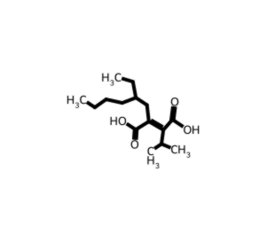 CCCCC(CC)C/C(C(=O)O)=C(\C(=O)O)C(C)C